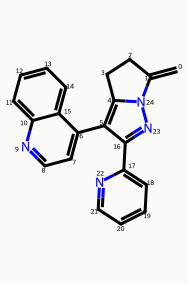 C=C1CCc2c(-c3ccnc4ccccc34)c(-c3ccccn3)nn21